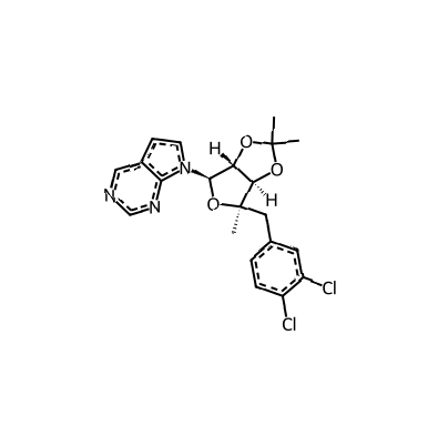 CC1(C)O[C@H]2[C@H](n3ccc4cncnc43)O[C@](C)(Cc3ccc(Cl)c(Cl)c3)[C@@H]2O1